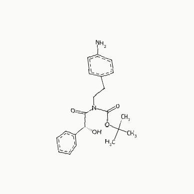 CC(C)(C)OC(=O)N(CCc1ccc(N)cc1)C(=O)[C@H](O)c1ccccc1